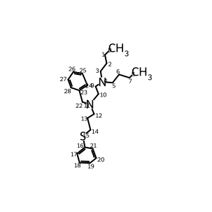 CCCCN(CCCC)CCN(CCCSc1ccccc1)Cc1ccccc1